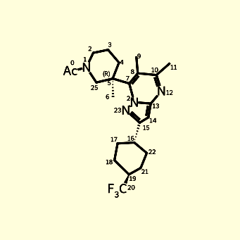 CC(=O)N1CCC[C@@](C)(c2c(C)c(C)nc3cc([C@H]4CC[C@H](C(F)(F)F)CC4)nn23)C1